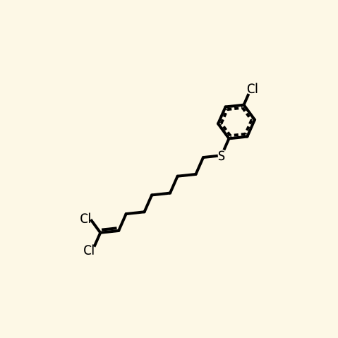 ClC(Cl)=CCCCCCCCSc1ccc(Cl)cc1